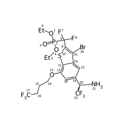 CCOP(=O)(OCC)C(F)(F)c1sc2c(OCCCC(F)(F)F)cc([C@@H](N)C(F)(F)F)cc2c1Br